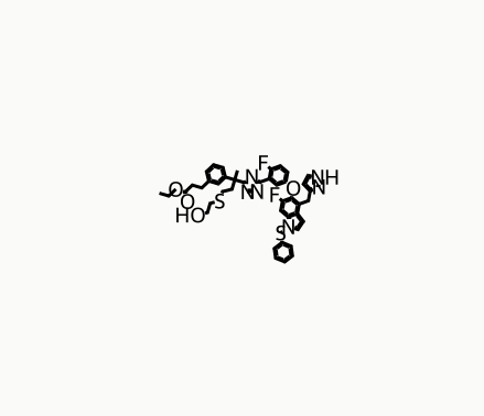 CCOC(=O)CCc1cccc(C(C)(CCSCCO)c2nc(-c3cc(Oc4c(F)cc5c(ccn5Sc5ccccc5)c4Cc4cc[nH]n4)ccc3F)n(C)n2)c1